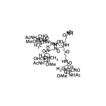 CCCNC(=O)CCCC(=O)NC(CCC(=O)CCCCNC(=O)C(C)CC(C)COC(OC)C(NC(C)=O)[C@H](O)C=O)(CCC(=O)NCCCNC(=O)C(C)CC(C)COC(OC)C(NC(C)=O)[C@H](O)C=O)CCC(=O)NCCCNC(=O)C(C)CC(C)COC(OC)C(NC(C)=O)[C@H](O)C=O